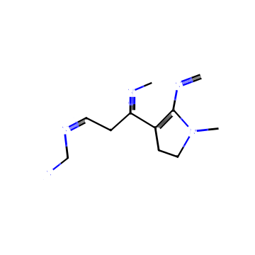 C=NC1=C(/C(C/C=N\CN)=N\C)CCN1C